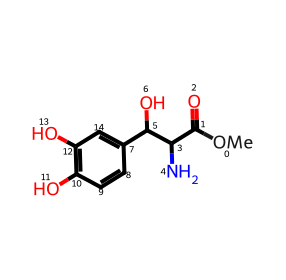 COC(=O)C(N)C(O)c1ccc(O)c(O)c1